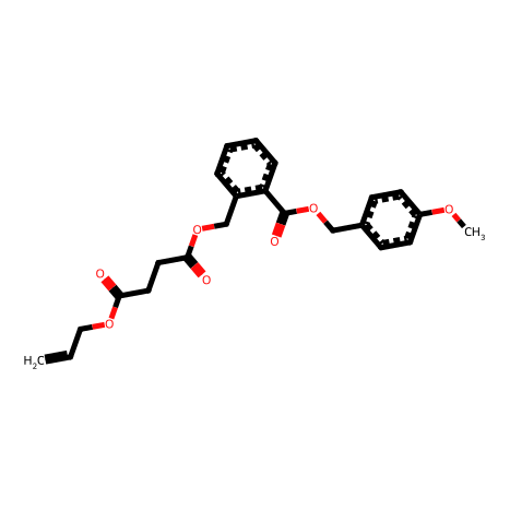 C=CCOC(=O)CCC(=O)OCc1ccccc1C(=O)OCc1ccc(OC)cc1